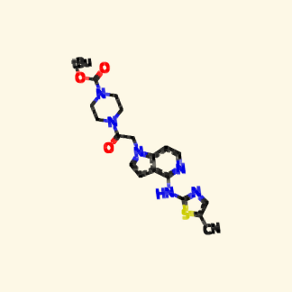 CC(C)(C)OC(=O)N1CCN(C(=O)Cn2ccc3c(Nc4ncc(C#N)s4)nccc32)CC1